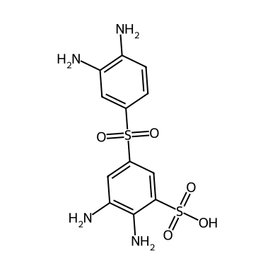 Nc1ccc(S(=O)(=O)c2cc(N)c(N)c(S(=O)(=O)O)c2)cc1N